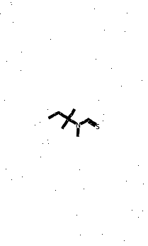 CCC(C)(C)N(C)[C]=S